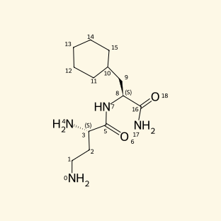 NCC[C@H](N)C(=O)N[C@@H](CC1CCCCC1)C(N)=O